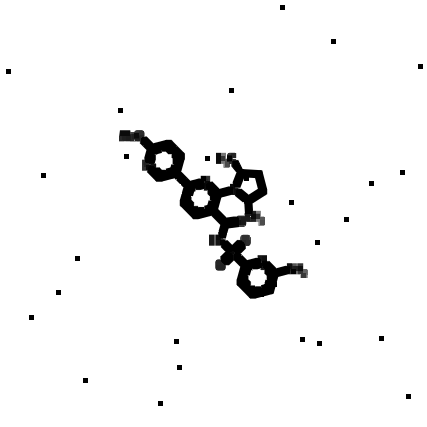 COc1ccc(-c2ccc(C(=O)NS(=O)(=O)c3cccc(N)n3)c(N3C(C)CC[C@@H]3C)n2)cn1